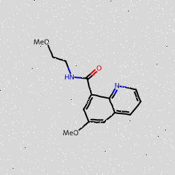 COCCNC(=O)c1cc(OC)cc2cccnc12